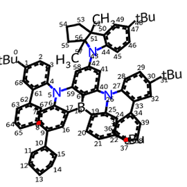 CC(C)(C)c1ccc(N2c3ccc(-c4ccccc4)cc3B3c4ccc(C(C)(C)C)cc4N(c4ccc(C(C)(C)C)cc4-c4ccccc4)c4cc(N5c6ccc(C(C)(C)C)cc6C6(C)CCCC56C)cc2c43)c(-c2ccccc2)c1